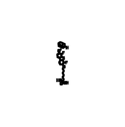 O=P(O)(O)CCCCCCOc1ccc2c(sc3c(F)c(OC[C@]45CC6CC(C[C@H](C6)C4)C5)ccc32)c1F